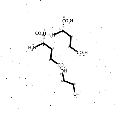 N[C@@H](CCC(=O)O)C(=O)O.N[C@@H](CCC(=O)O)C(=O)O.OCCO